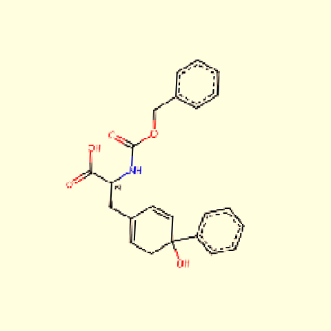 O=C(N[C@@H](CC1=CCC(O)(c2ccccc2)C=C1)C(=O)O)OCc1ccccc1